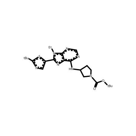 CCn1c(-c2cnc(C(C)(C)C)s2)nc2c(NC3CCN(C(=O)OC(C)(C)C)C3)ncnc21